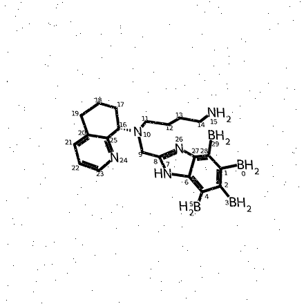 Bc1c(B)c(B)c2[nH]c(CN(CCCCN)[C@H]3CCCc4cccnc43)nc2c1B